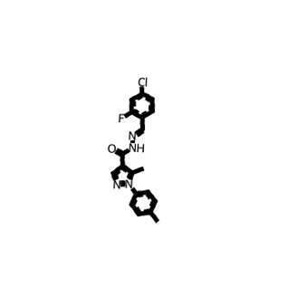 Cc1ccc(-n2ncc(C(=O)NN=Cc3ccc(Cl)cc3F)c2C)cc1